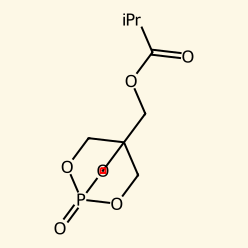 CC(C)C(=O)OCC12COP(=O)(OC1)OC2